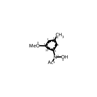 COc1cc(C)cc(N(O)C(C)=O)c1